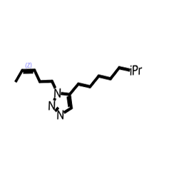 C/C=C\CCn1nncc1CCCCCC(C)C